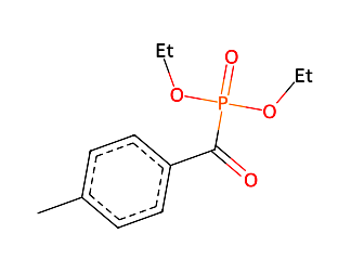 CCOP(=O)(OCC)C(=O)c1ccc(C)cc1